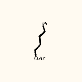 CC(=O)OCCCCC(C)C